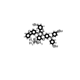 CC(C)(C)c1ccc(N(c2ccc(C(C)(C)C)cc2)c2ccc3c(c2)Oc2cc([Si](C)(C)C)cc4c2B3c2sc3ccc(C(C)(C)C)cc3c2N4c2ccc3oc4ccccc4c3c2)cc1